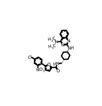 CN(C)c1nc(N[C@H]2CC[C@@H](CNC(=O)c3ccc(-c4ccc(Cl)cc4[N+](=O)[O-])o3)CC2)nc2ccccc12